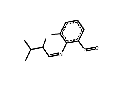 Cc1cccc(P=O)c1/N=C\C(C)C(C)C